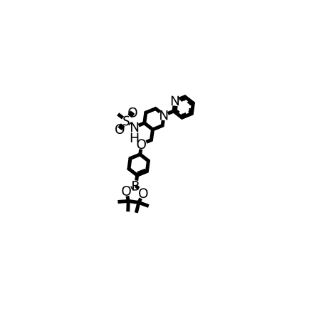 CC1(C)OB(C2=CCC(OCC3CN(c4ccccn4)CCC3NS(C)(=O)=O)CC2)OC1(C)C